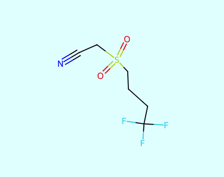 N#CCS(=O)(=O)CCCC(F)(F)F